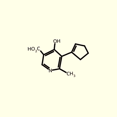 Cc1ncc(C(=O)O)c(O)c1C1=CCCC1